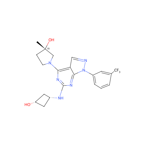 C[C@]1(O)CCN(c2nc(N[C@H]3C[C@@H](O)C3)nc3c2cnn3-c2cccc(C(F)(F)F)c2)C1